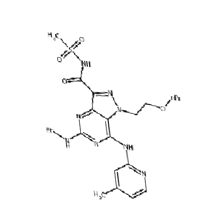 CCCOCCn1nc(C(=O)NS(C)(=O)=O)c2nc(NCC)nc(Nc3cc(C)ccn3)c21